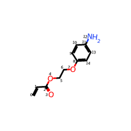 C=CC(=O)OCCOc1ccc(N)cc1